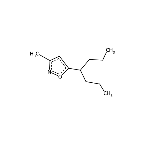 CCCC(CCC)c1cc(C)no1